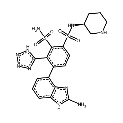 Nc1nc2c(-c3ccc(S(=O)(=O)N[C@H]4CCCNC4)c(S(N)(=O)=O)c3-c3nnn[nH]3)cccc2[nH]1